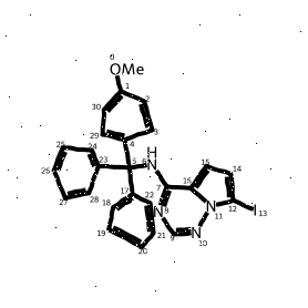 COc1ccc(C(Nc2ncnn3c(I)ccc23)(c2ccccc2)c2ccccc2)cc1